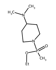 CCOP(C)(=O)N1CCC(N(C)C)CC1